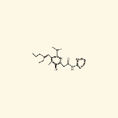 CCC/C(=C/c1c(C(C)C)nn(CC(=O)Nc2ncccn2)c(=O)c1C)CC